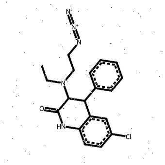 CCN(CCN=[N+]=[N-])C1C(=O)Nc2ccc(Cl)cc2C1c1ccccc1